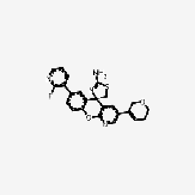 NC1=N[C@@]2(CS1)c1cc(-c3cccnc3F)ccc1Oc1ncc(C3=CCCOC3)cc12